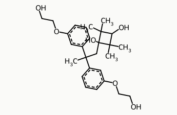 CC(CC1(O)C(C)(C)C(O)C1(C)C)(c1cccc(OCCO)c1)c1cccc(OCCO)c1